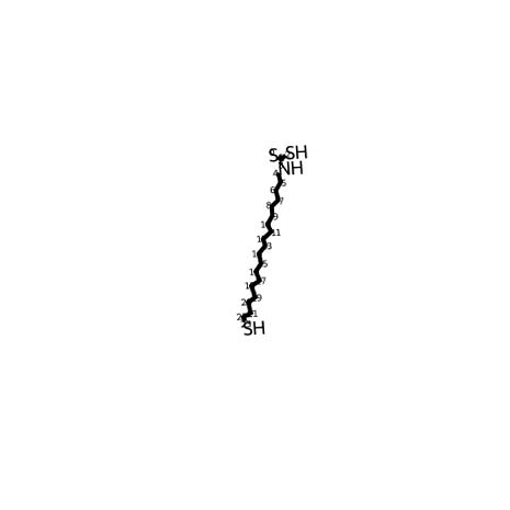 S=C(S)NCCCCCCCCCCCCCCCCCCCS